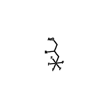 CC(=O)OCC(Br)CS(F)(F)(F)(F)F